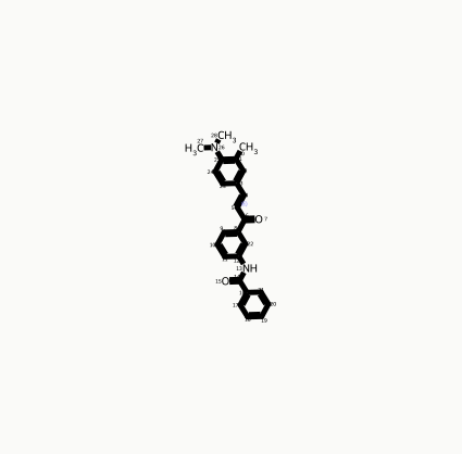 Cc1cc(/C=C/C(=O)c2cccc(NC(=O)c3ccccc3)c2)ccc1N(C)C